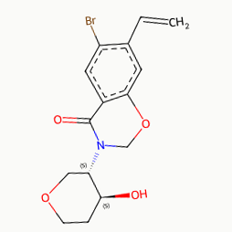 C=Cc1cc2c(cc1Br)C(=O)N([C@H]1COCC[C@@H]1O)CO2